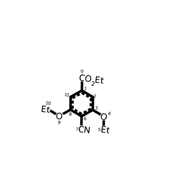 CCOC(=O)c1cc(OCC)c(C#N)c(OCC)c1